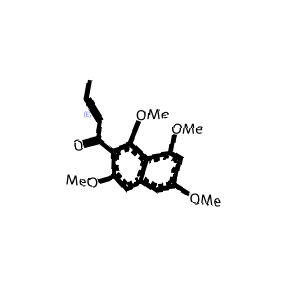 C/C=C/C(=O)c1c(OC)cc2cc(OC)cc(OC)c2c1OC